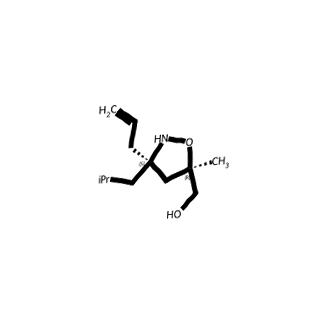 C=CC[C@@]1(CC(C)C)C[C@](C)(CO)ON1